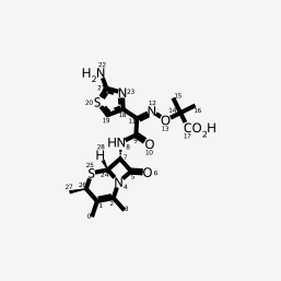 CC1=C(C)N2C(=O)[C@@H](NC(=O)/C(=N\OC(C)(C)C(=O)O)c3csc(N)n3)[C@H]2S[C@@H]1C